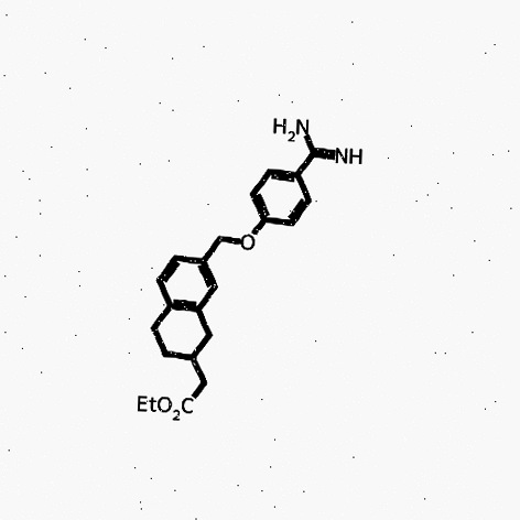 CCOC(=O)CC1CCc2ccc(COc3ccc(C(=N)N)cc3)cc2C1